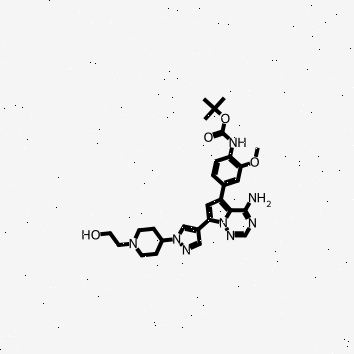 COc1cc(-c2cc(-c3cnn(C4CCN(CCO)CC4)c3)n3ncnc(N)c23)ccc1NC(=O)OC(C)(C)C